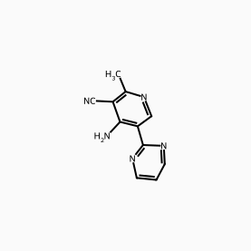 Cc1ncc(-c2ncccn2)c(N)c1C#N